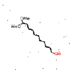 COC(CCCCCCCCCCO)OC